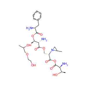 CC(O)COCCO.CC1CN1[C@@H](COC(=O)[C@@H](N)[C@@H](C)OC(=O)[C@@H](N)Cc1ccccc1)C(=O)OC(=O)[C@@H](N)[C@@H](C)O